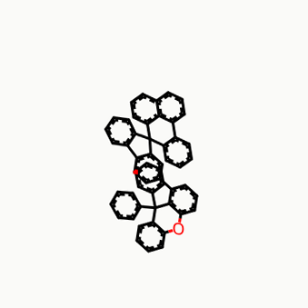 c1ccc(C2(c3ccccc3)c3ccccc3Oc3cccc(-c4ccc5c(c4)C4(c6ccccc6-5)c5ccccc5-c5cccc6cccc4c56)c32)cc1